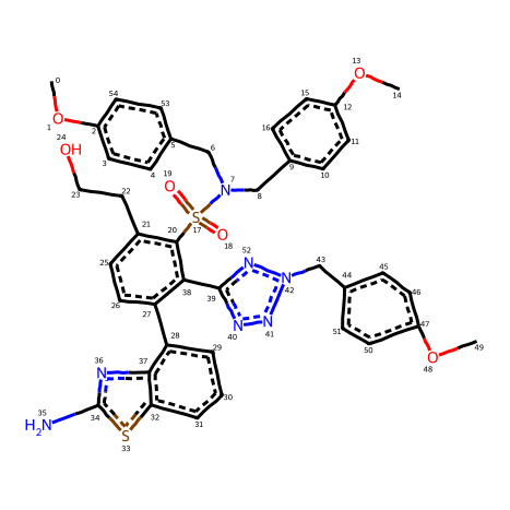 COc1ccc(CN(Cc2ccc(OC)cc2)S(=O)(=O)c2c(CCO)ccc(-c3cccc4sc(N)nc34)c2-c2nnn(Cc3ccc(OC)cc3)n2)cc1